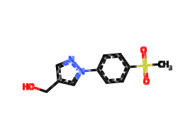 CS(=O)(=O)c1ccc(-n2cc(CO)cn2)cc1